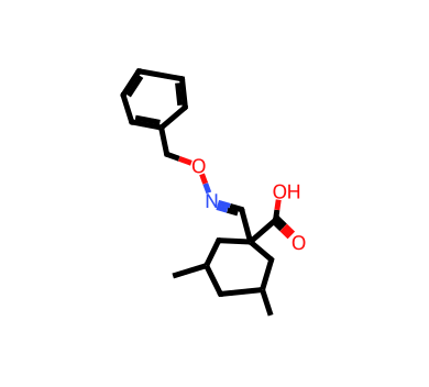 CC1CC(C)CC(C=NOCc2ccccc2)(C(=O)O)C1